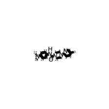 Cc1ccc(N2CCN(C(=O)Nc3ccc(N(C)C)cc3)CC2)nc1